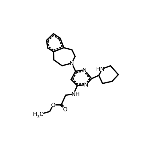 CCOC(=O)CNc1cc(N2CCc3ccccc3CC2)nc(C2CCCCN2)n1